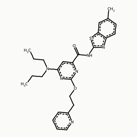 CCCN(CCC)c1cc(C(=O)Nc2nc3ccc(C)cc3s2)nc(OCCc2ccccn2)n1